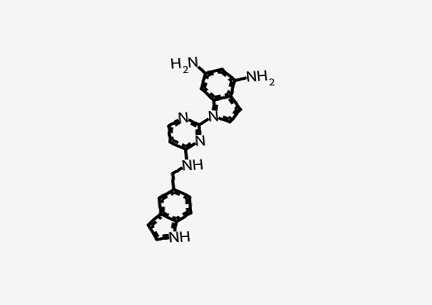 Nc1cc(N)c2ccn(-c3nccc(NCc4ccc5[nH]ccc5c4)n3)c2c1